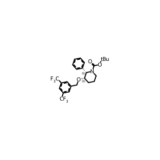 CC(C)(C)OC(=O)N1CCC[C@H](OCc2cc(C(F)(F)F)cc(C(F)(F)F)c2)[C@@H]1c1ccccc1